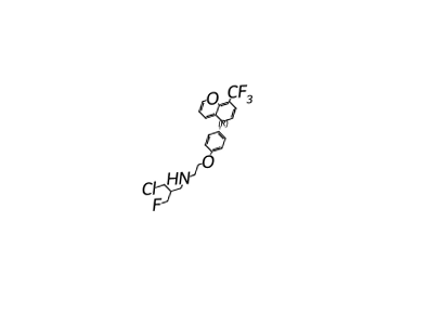 FCC(CCl)CNCCOc1ccc([C@H]2C=CC(C(F)(F)F)=C3OC=CC=C32)cc1